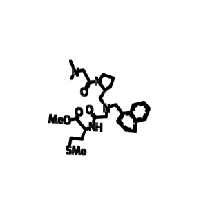 COC(=O)[C@H](CCSC)NC(=O)CN(Cc1cccc2ccccc12)C[C@@H]1CCCN1C(=O)CN(C)C